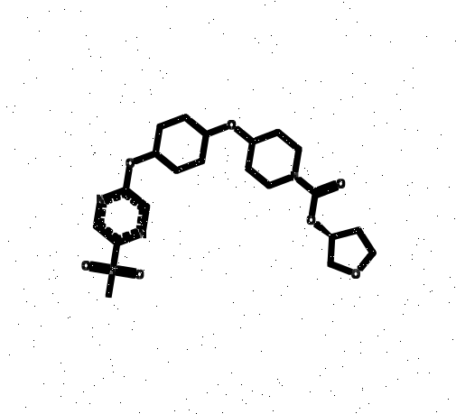 CS(=O)(=O)c1cnc(OC2CCC(OC3CCN(C(=O)O[C@H]4CCOC4)CC3)CC2)cn1